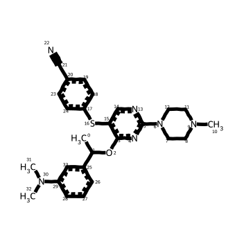 CC(Oc1nc(N2CCN(C)CC2)ncc1Sc1ccc(C#N)cc1)c1cccc(N(C)C)c1